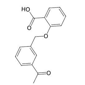 CC(=O)c1cccc(COc2ccccc2C(=O)O)c1